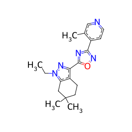 CCn1nc(-c2nc(-c3ccncc3C)no2)c2c1CC(C)(C)CC2